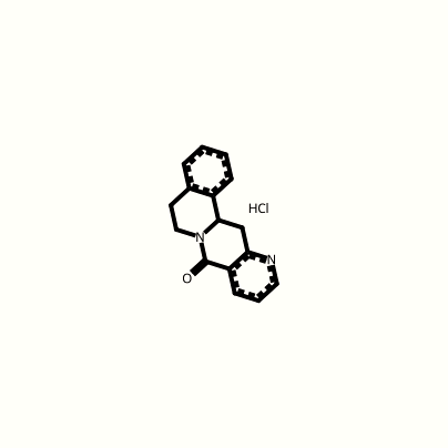 Cl.O=C1c2cccnc2CC2c3ccccc3CCN12